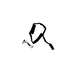 C=Cc1ccccc1.CC([O])=O